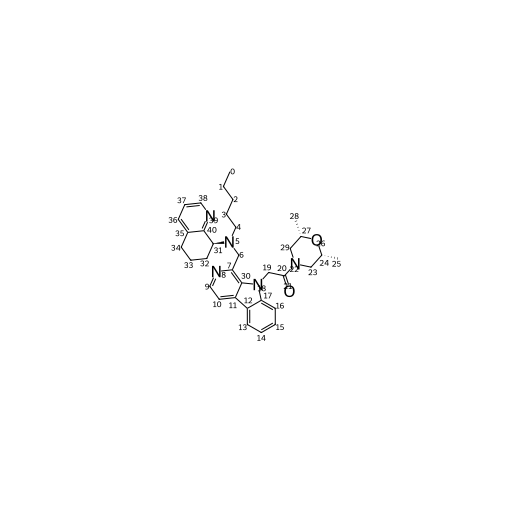 CCCCCN(Cc1nccc2c3ccccc3n(CC(=O)N3C[C@@H](C)O[C@@H](C)C3)c12)[C@H]1CCCc2cccnc21